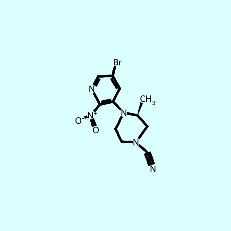 C[C@H]1CN(C#N)CCN1c1cc(Br)cnc1[N+](=O)[O-]